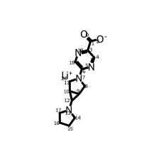 O=C([O-])c1cnc(N2CC3C(C2)C3N2CCCC2)cn1.[Li+]